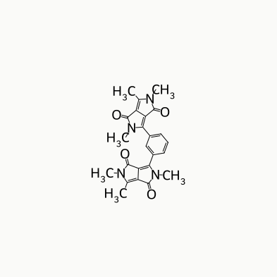 CC1=C2C(=O)N(C)C(c3cccc(C4=C5C(=O)N(C)C(C)=C5C(=O)N4C)c3)=C2C(=O)N1C